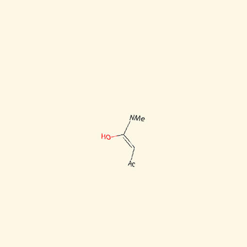 CN/C(O)=C/C(C)=O